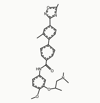 COc1ccc(NC(=O)c2ccc(-c3ccc(-c4noc(C)n4)cc3C)cc2)cc1OC(C)CN(C)C